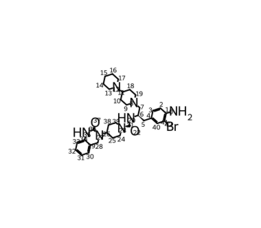 Nc1ccc(C[C@H](CN2CCC(N3CCCCC3)CC2)NC(=O)N2CCC(N3Cc4ccccc4NC3=O)CC2)cc1Br